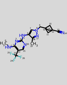 CNc1nc(Nc2cn(CC34CC(C#N)(C3)C4)nc2C)ncc1C(F)(F)F